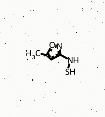 Cc1cc(NS)no1